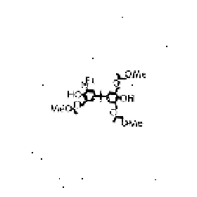 CCOc1cc(C(C)(C)c2cc(COC(C)COC)c(O)c(COC(C)COC)c2)cc(COC(C)OC)c1O